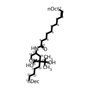 CCCCCCCC/C=C\CCCCCCCC(=O)NC(COC)CC(CO)(CCCCCCCCCCCCCC)C(C)(C)O